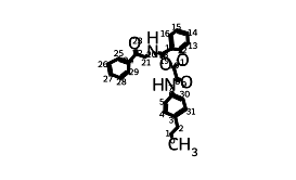 CCCc1ccc(NC(=O)COc2ccccc2C(=O)NCC(=O)c2ccccc2)cc1